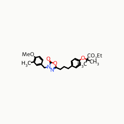 CCOC(=O)C(C)(C)Oc1ccc(CCCc2nn(Cc3ccc(OC)c(C)c3)c(=O)o2)cc1